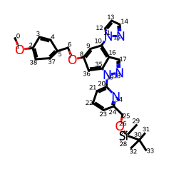 COc1ccc(COc2cc(-n3cccn3)c3cnn(-c4cccc(CO[Si](C)(C)C(C)(C)C)n4)c3c2)cc1